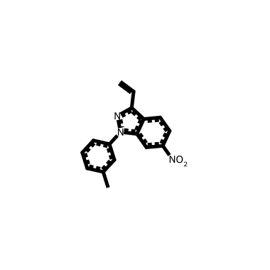 C=Cc1nn(-c2cccc(C)c2)c2cc([N+](=O)[O-])ccc12